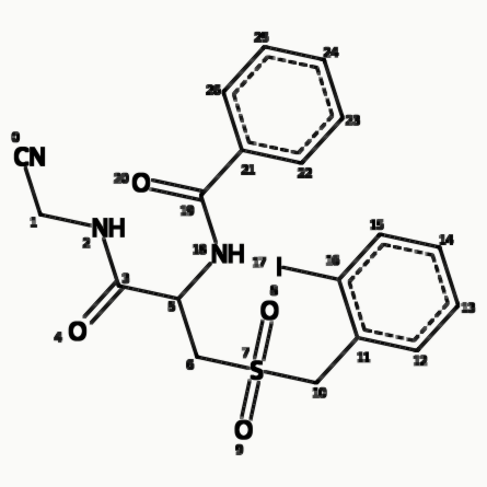 N#CCNC(=O)C(CS(=O)(=O)Cc1ccccc1I)NC(=O)c1ccccc1